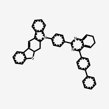 C1=C2c3ccccc3SC2Cc2c1c1ccccc1n2-c1ccc(-c2nc(-c3ccc(-c4ccccc4)cc3)c3c(n2)=CCCC=3)cc1